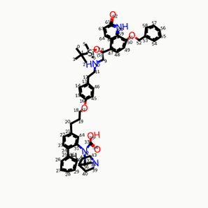 CC(C)(C)[Si](C)(C)O[C@H](CNCCc1ccc(OCCCc2ccc(-c3ccccc3)c(N(C(=O)O)[C@H]3CN4CCC3CC4)c2)cc1)c1ccc(OCc2ccccc2)c2[nH]c(=O)ccc12